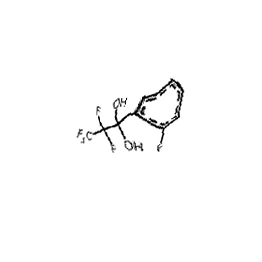 OC(O)(c1ccccc1F)C(F)(F)C(F)(F)F